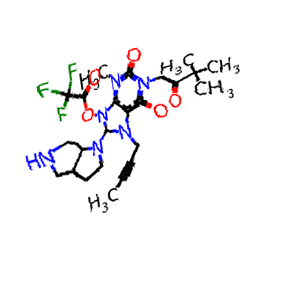 CC#CCN1c2c(n(C)c(=O)n(CC(=O)C(C)(C)C)c2=O)N(OC(=O)C(F)(F)F)C1N1CCC2CNCC21